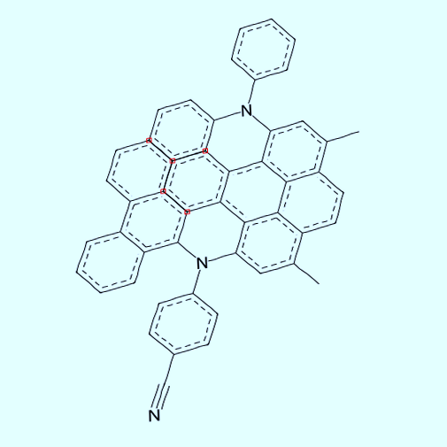 Cc1cc(N(c2ccccc2)c2ccccc2)c2c3ccccc3c3c(N(c4ccc(C#N)cc4)c4cc5ccccc5c5ccccc45)cc(C)c4ccc1c2c43